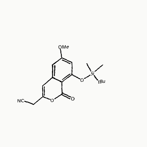 COc1cc(O[Si](C)(C)C(C)(C)C)c2c(=O)oc(CC#N)cc2c1